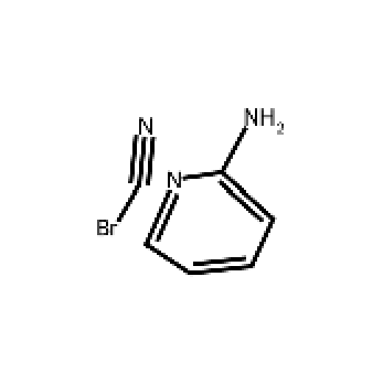 N#CBr.Nc1ccccn1